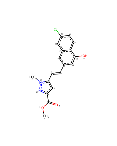 COC(=O)c1cc(C=Cc2cc(O)c3ccc(Cl)cc3c2)n(C)n1